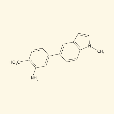 Cn1ccc2cc(-c3ccc(C(=O)O)c(N)c3)ccc21